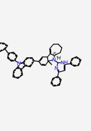 CC12C=CC(c3ccc4c(c3)c3ccccc3n4-c3ccc(-c4ccccc4)cc3)=CC1C1=CCCCC[C@H]1N2C1N=C(c2ccccc2)C=C(c2ccccc2)N1